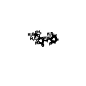 CC(C)(C)OC(=O)N[C@@H](COc1c(N)cccc1F)C(=O)O